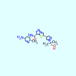 Cc1ncc(N)cc1NC(=O)c1cnn2cc(-c3cnn(C(C)(C)CO)c3)sc12